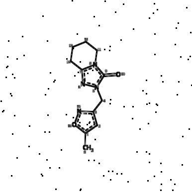 Cc1cc(Cn2nc3n(c2=O)CCCC3)no1